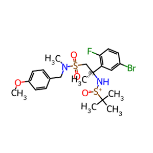 COc1ccc(CN(C)S(=O)(=O)C[C@](C)(N[S+]([O-])C(C)(C)C)c2cc(Br)ccc2F)cc1